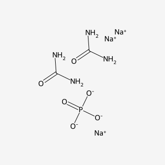 NC(N)=O.NC(N)=O.O=P([O-])([O-])[O-].[Na+].[Na+].[Na+]